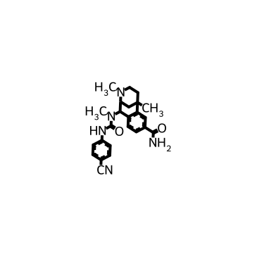 CN1CCC2(C)CC1C(N(C)C(=O)Nc1ccc(C#N)cc1)c1ccc(C(N)=O)cc12